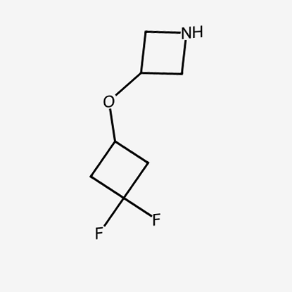 FC1(F)CC(OC2CNC2)C1